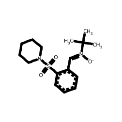 CC(C)(C)[N+]([O-])=Cc1ccccc1S(=O)(=O)N1CCCCC1